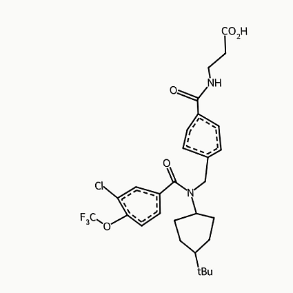 CC(C)(C)C1CCC(N(Cc2ccc(C(=O)NCCC(=O)O)cc2)C(=O)c2ccc(OC(F)(F)F)c(Cl)c2)CC1